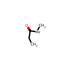 CCC(=O)[As]C